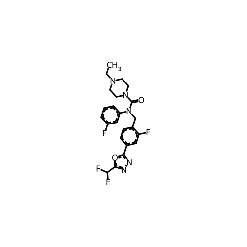 CCN1CCN(C(=O)N(Cc2ccc(-c3nnc(C(F)F)o3)cc2F)c2cccc(F)c2)CC1